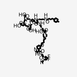 Cc1ccc(CCCC(=O)NCCCC[C@H](NC(=O)CN2CCN(CC(=O)O)CCN(CC(=O)O)CCN(CC(=O)O)CC2)C(=O)NCCSC[C@@H](O)C(=O)N2CCN(CCCCOc3ccc4nccc(C(=O)NCC(=O)N5CC(F)(F)C[C@@H]5C#N)c4c3)CC2)cc1